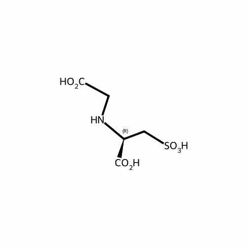 O=C(O)CN[C@@H](CS(=O)(=O)O)C(=O)O